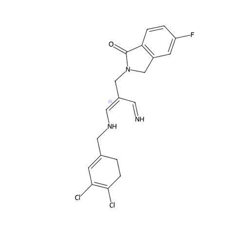 N=C/C(=C\NCC1=CC(Cl)=C(Cl)CC1)CN1Cc2cc(F)ccc2C1=O